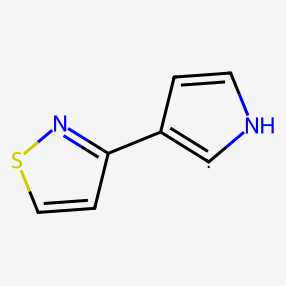 [c]1[nH]ccc1-c1ccsn1